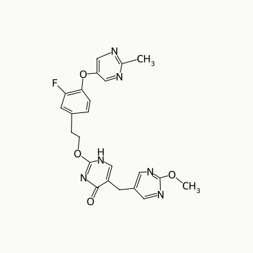 COc1ncc(Cc2c[nH]c(OCCc3ccc(Oc4cnc(C)nc4)c(F)c3)nc2=O)cn1